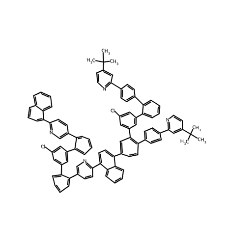 CC(C)(C)c1ccnc(-c2ccc(-c3ccccc3-c3cc(Cl)cc(-c4cc(-c5ccc(-c6ccc(-c7ccccc7-c7cc(Cl)cc(-c8ccccc8-c8ccc(-c9cccc%10ccccc9%10)nc8)c7)cn6)c6ccccc56)ccc4-c4ccc(-c5cc(C(C)(C)C)ccn5)cc4)c3)cc2)c1